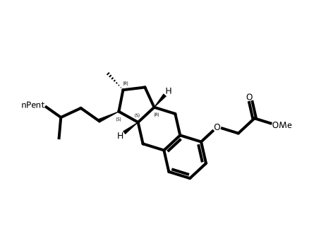 CCCCCC(C)CC[C@@H]1[C@H]2Cc3cccc(OCC(=O)OC)c3C[C@H]2C[C@H]1C